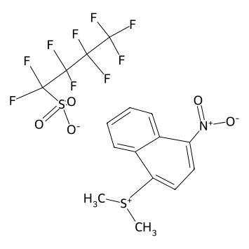 C[S+](C)c1ccc([N+](=O)[O-])c2ccccc12.O=S(=O)([O-])C(F)(F)C(F)(F)C(F)(F)C(F)(F)F